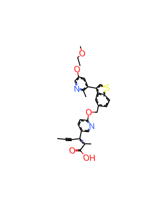 CC#C/C(=C(/C)C(=O)O)c1ccc(OCc2ccc3scc(-c4cc(OCCOC)cnc4C)c3c2)nc1